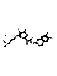 Cc1cc2cc(NC(=O)Nc3nc(C)c(F)c(NCCCN(C)C)n3)ccc2cc1Cl